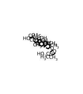 CC(=O)O[C@@H]([C@H]1C[C@@H](C)[C@H]2[C@H](O1)[C@H](O)[C@@]1(C)[C@@H]3CC[C@H]4C(C)(C)[C@@H](O[C@H]5CN(C(C)(C)C(=O)O)CCO5)CC[C@@]45C[C@@]35CC[C@]21C)C(C)(C)O